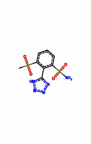 CS(=O)(=O)c1cccc(S(N)(=O)=O)c1-c1nnn[nH]1